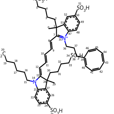 CC1(CCCCS(=O)(=O)O)C(/C=C/C=C/C=C2/N(CCCCCC(=O)O)c3ccc(S(=O)(=O)O)cc3C2(C)CCCCS(=O)(=O)O)=[N+](CCCC2=C/C=C\C=C/C=C\2)c2ccc(S(=O)(=O)O)cc21